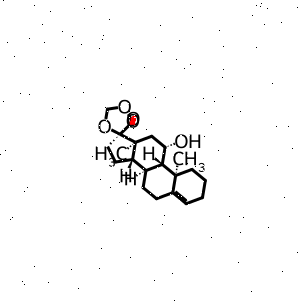 C[C@]12CCCC=C1CC[C@@H]1[C@@H]2[C@@H](O)C[C@@]2(C)[C@H]1CC[C@@]21OCOC12COCO2